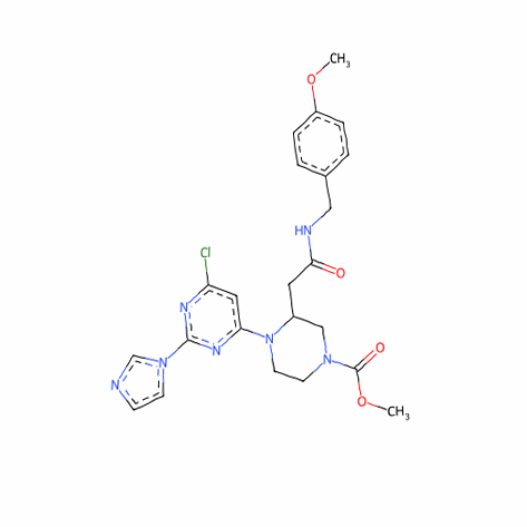 COC(=O)N1CCN(c2cc(Cl)nc(-n3ccnc3)n2)C(CC(=O)NCc2ccc(OC)cc2)C1